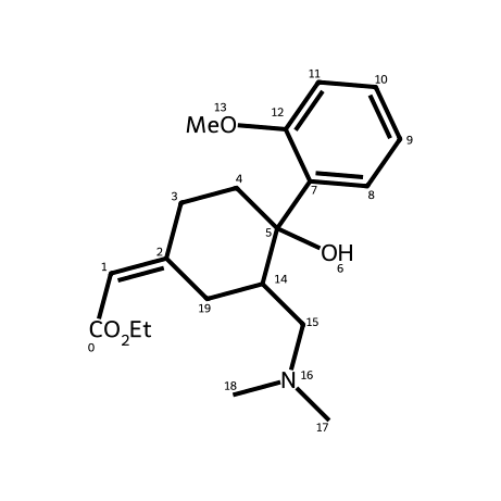 CCOC(=O)/C=C1/CCC(O)(c2ccccc2OC)C(CN(C)C)C1